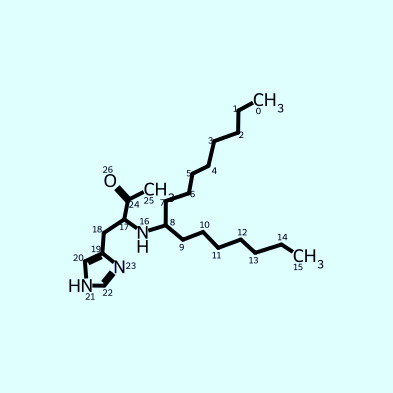 CCCCCCCCC(CCCCCCC)NC(Cc1c[nH]cn1)C(C)=O